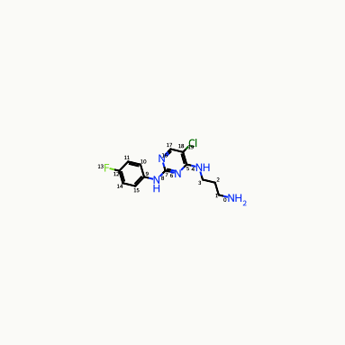 NCCCNc1nc(Nc2ccc(F)cc2)ncc1Cl